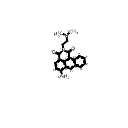 CN(C)CCN1C(=O)c2ccc(N)c3cc4ccccc4c(c23)C1=O